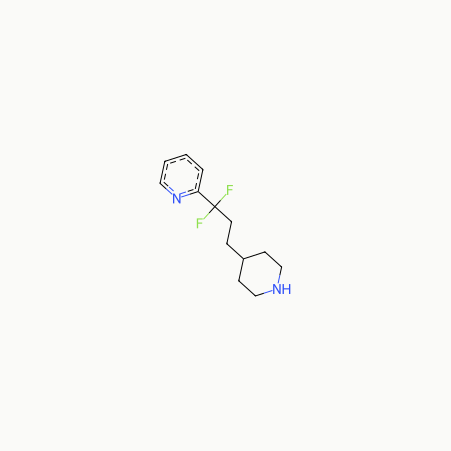 FC(F)(CCC1CCNCC1)c1ccccn1